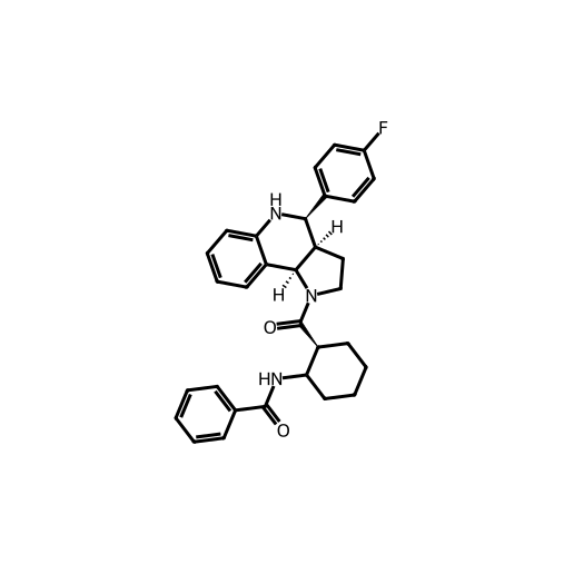 O=C(NC1CCCC[C@@H]1C(=O)N1CC[C@@H]2[C@H](c3ccc(F)cc3)Nc3ccccc3[C@@H]21)c1ccccc1